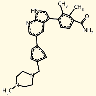 Cc1c(C(N)=O)ccc(-c2c[nH]c3ncc(-c4ccc(CN5CCN(C)CC5)cc4)cc23)c1C